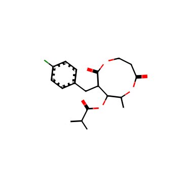 CC(C)C(=O)OC1C(C)OC(=O)CCOC(=O)C1Cc1ccc(F)cc1